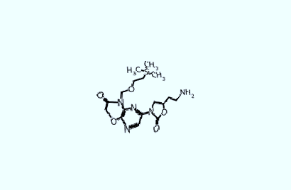 C[Si](C)(C)CCOCN1C(=O)COc2ncc(N3CC(CCN)OC3=O)nc21